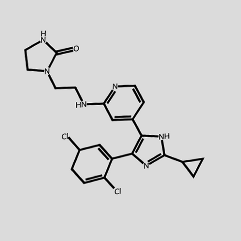 O=C1NCCN1CCNc1cc(-c2[nH]c(C3CC3)nc2C2=CC(Cl)CC=C2Cl)ccn1